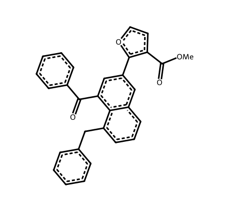 COC(=O)c1ccoc1-c1cc(C(=O)c2ccccc2)c2c(Cc3ccccc3)cccc2c1